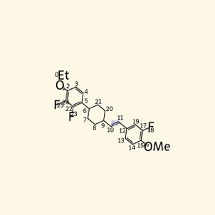 CCOc1ccc(C2CCC(/C=C/c3ccc(OC)c(F)c3)CC2)c(F)c1F